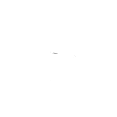 Cc1cccc(CN(C2CCCCC2)[C@H]2CCNC2)c1